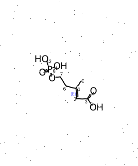 C/C(=C\C(=O)O)CCOP(=O)(O)O